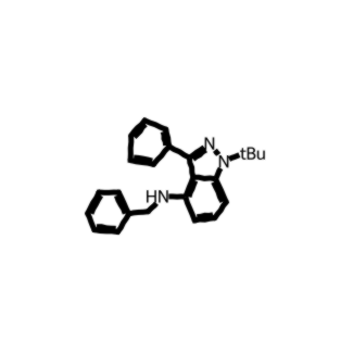 CC(C)(C)n1nc(-c2ccccc2)c2c(NCc3ccccc3)cccc21